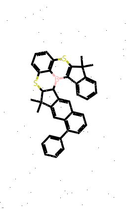 CC1(C)C2=C(B3c4c(cccc4SC4C3c3cc5cccc(-c6ccccc6)c5cc3C4(C)C)S2)c2ccccc21